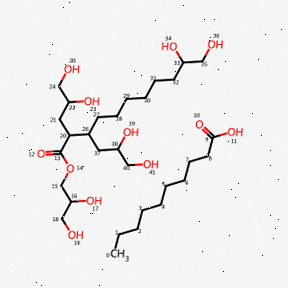 CCCCCCCCCC(=O)O.O=C(OCC(O)CO)C(CC(O)CO)C(CCCCCCC(O)CO)CC(O)CO